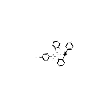 COc1ccc(S(=O)(=O)N(c2ccccc2C#Cc2ccccc2)[B-]2(OC(=O)C(F)(F)F)Oc3ccccc3O2)cc1